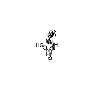 O=S(=O)(C1CC1)n1cc(-c2nccc(Nc3cc(NC4CCC(O)CC4)c(C#Cc4ccsc4)cn3)n2)cn1